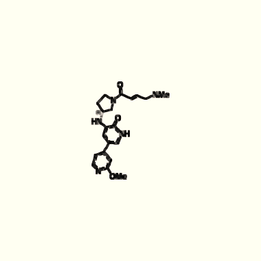 CNCC=CC(=O)N1CC[C@@H](Nc2cc(-c3ccnc(OC)c3)c[nH]c2=O)C1